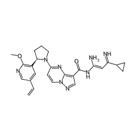 C=Cc1cnc(OC)c([C@H]2CCCN2c2ccn3ncc(C(=O)N/C(N)=C/C(=N)C4CC4)c3n2)c1